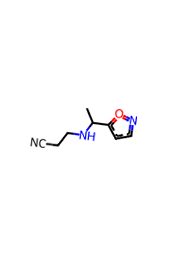 CC(NCCC#N)c1ccno1